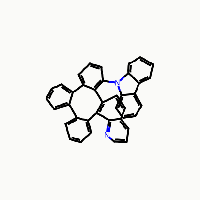 c1ccc2c(c1)-c1ccccc1-c1c(ccc3cccnc13)-c1c-2cccc1-n1c2ccccc2c2ccccc21